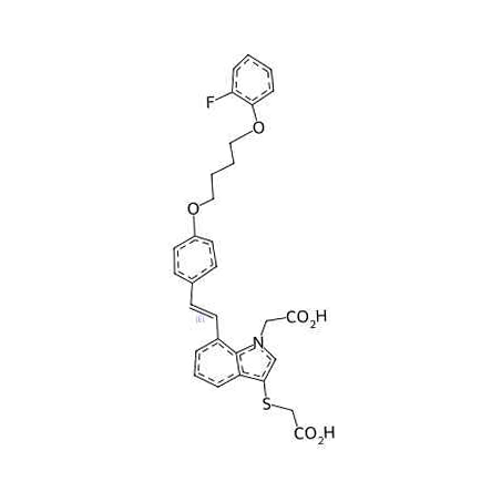 O=C(O)CSc1cn(CC(=O)O)c2c(/C=C/c3ccc(OCCCCOc4ccccc4F)cc3)cccc12